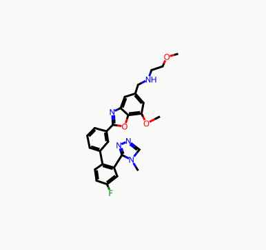 COCCNCc1cc(OC)c2oc(-c3cccc(-c4ccc(F)cc4-c4nncn4C)c3)nc2c1